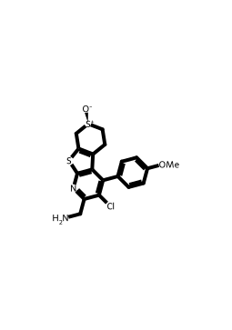 COc1ccc(-c2c(Cl)c(CN)nc3sc4c(c23)CC[S@+]([O-])C4)cc1